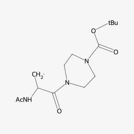 [CH2]C(NC(C)=O)C(=O)N1CCN(C(=O)OC(C)(C)C)CC1